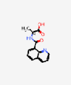 C[C@H](NC(=O)c1cccc2cccnc12)C(=O)O